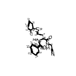 N#CCNC(=O)[C@@H](CCSc1ccccc1Cl)NC(=O)c1ccccc1